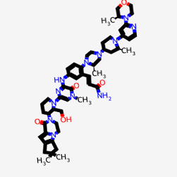 C[C@@H]1CC(N2CCN(c3ccc(Nc4nc(N5CCCC(N6CCn7c(cc8c7CC(C)(C)C8)C6=O)C5CO)cn(C)c4=O)cc3C=CC(N)=O)[C@@H](C)C2)CCN1c1ccnc(N2CCOC[C@@H]2C)c1